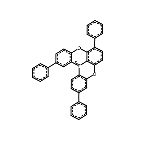 S=P12c3ccc(-c4ccccc4)cc3Oc3ccc(-c4ccccc4)c(c31)Oc1ccc(-c3ccccc3)cc12